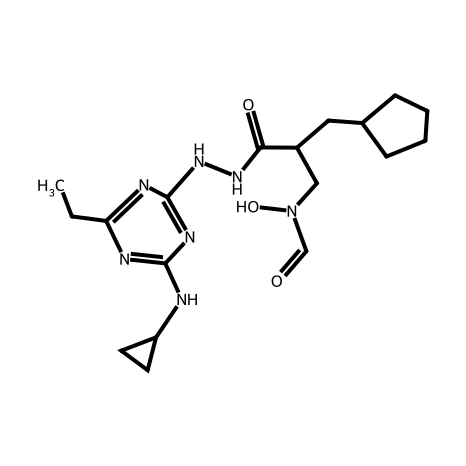 CCc1nc(NNC(=O)C(CC2CCCC2)CN(O)C=O)nc(NC2CC2)n1